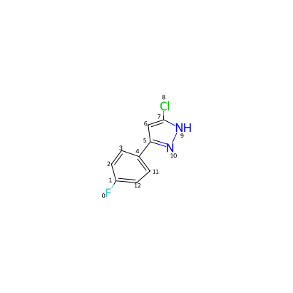 Fc1ccc(-c2cc(Cl)[nH]n2)cc1